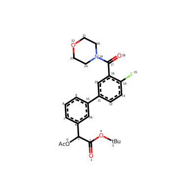 CC(=O)OC(C(=O)OC(C)(C)C)c1cccc(-c2ccc(F)c(C(=O)N3CCOCC3)c2)c1